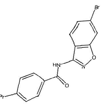 CCCc1ccc(C(=O)Nc2noc3cc(Br)ccc23)cc1